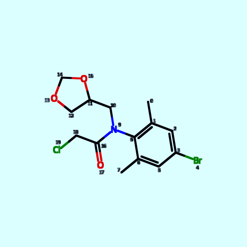 Cc1cc(Br)cc(C)c1N(CC1COCO1)C(=O)CCl